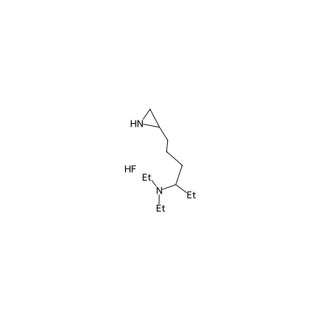 CCC(CCCC1CN1)N(CC)CC.F